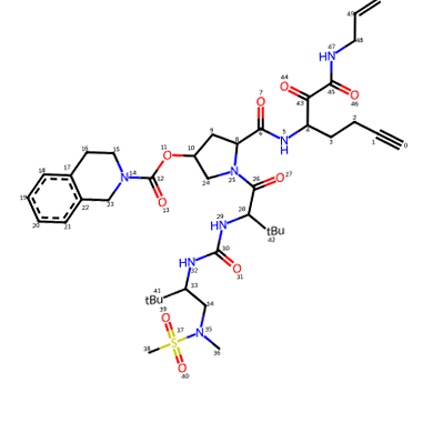 C#CCCC(NC(=O)C1CC(OC(=O)N2CCc3ccccc3C2)CN1C(=O)C(NC(=O)NC(CN(C)S(C)(=O)=O)C(C)(C)C)C(C)(C)C)C(=O)C(=O)NCC=C